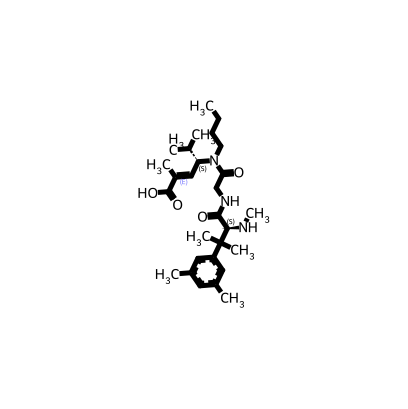 CCCCN(C(=O)CNC(=O)[C@@H](NC)C(C)(C)c1cc(C)cc(C)c1)[C@H](/C=C(\C)C(=O)O)C(C)C